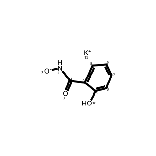 O=C(N[O-])c1ccccc1O.[K+]